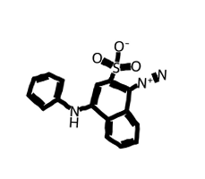 N#[N+]c1c(S(=O)(=O)[O-])cc(Nc2ccccc2)c2ccccc12